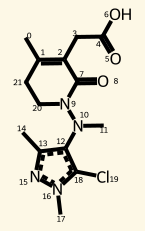 CC1=C(CC(=O)O)C(=O)N(N(C)c2c(C)nn(C)c2Cl)CC1